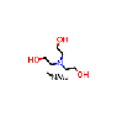 CNC.OCCN(CCO)CCO